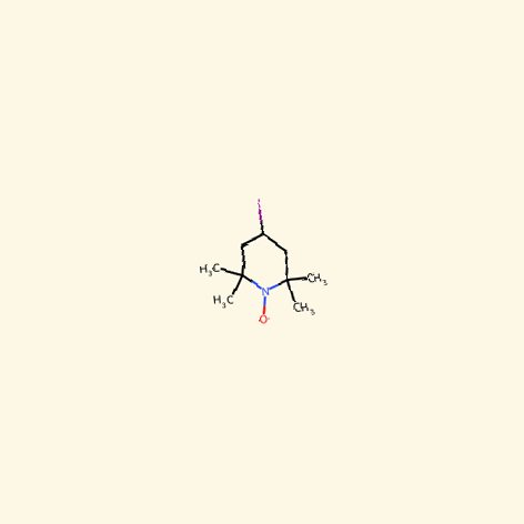 CC1(C)CC(I)CC(C)(C)N1[O]